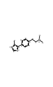 Cc1ncsc1-c1ccc(CCN(C)C)cc1